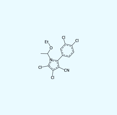 CCOC(C)n1c(Cl)c(Cl)c(C#N)c1-c1ccc(Cl)c(Cl)c1